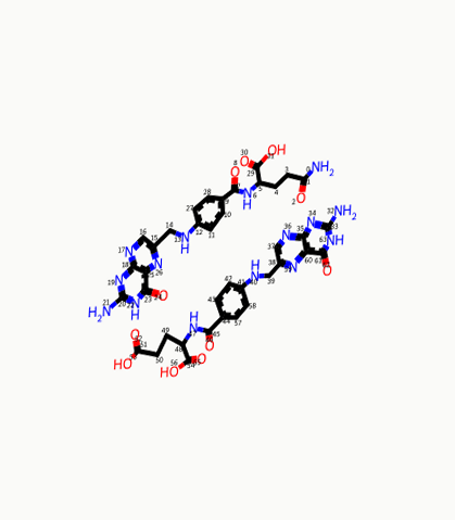 NC(=O)CCC(NC(=O)c1ccc(NCc2cnc3nc(N)[nH]c(=O)c3n2)cc1)C(=O)O.Nc1nc2ncc(CNc3ccc(C(=O)NC(CCC(=O)O)C(=O)O)cc3)nc2c(=O)[nH]1